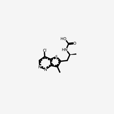 Cc1c(C[C@H](C)NC(=O)O)sc2c(Cl)cnnc12